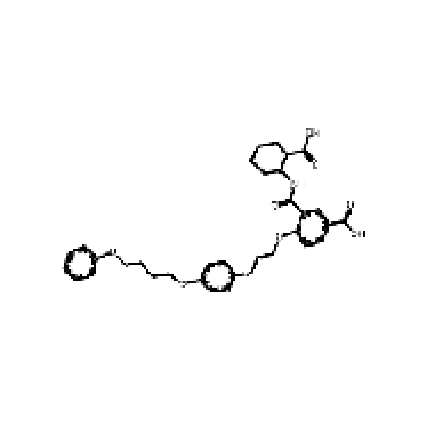 O=C(O)c1ccc(OCCCc2ccc(OCCCCOc3ccccc3)cc2)c(C(=O)NC2CCCCC2C(=O)O)c1